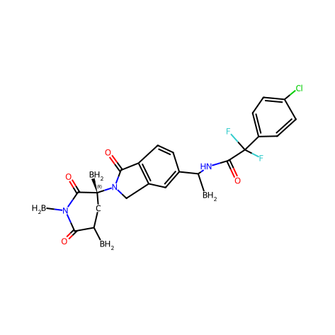 BC1C[C@@](B)(N2Cc3cc(C(B)NC(=O)C(F)(F)c4ccc(Cl)cc4)ccc3C2=O)C(=O)N(B)C1=O